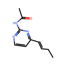 CCC=Cc1ccnc(NC(C)=O)n1